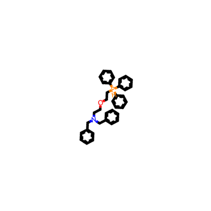 c1ccc(CN(CCOCC[PH](c2ccccc2)(c2ccccc2)c2ccccc2)Cc2ccccc2)cc1